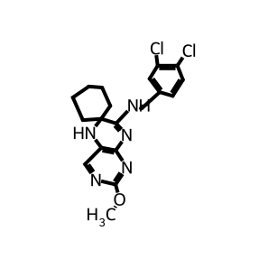 COc1ncc2c(n1)N=C(NCc1ccc(Cl)c(Cl)c1)C1(CCCCC1)N2